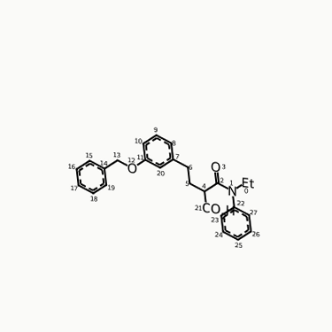 CCN(C(=O)C(CCc1cccc(OCc2ccccc2)c1)C(=O)O)c1ccccc1